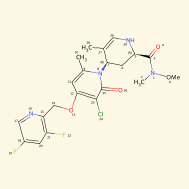 CON(C)C(=O)[C@H]1C[C@@H](n2c(C)cc(OCc3ncc(F)cc3F)c(Cl)c2=O)C(C)=CN1